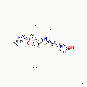 CC(C)C(C(=O)Nc1cc(C2CC2)[nH]n1)c1cccc(-c2ccc(NC(=O)/C=C/CN3CCCC(O)C3)nc2)c1